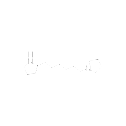 [CH](CCCN1CCCC1)CCC1CCCN1